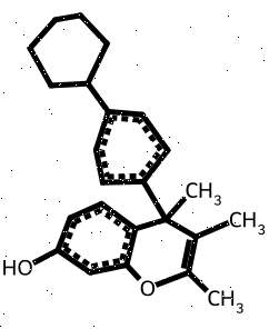 CC1=C(C)C(C)(c2ccc(C3CCCCC3)cc2)c2ccc(O)cc2O1